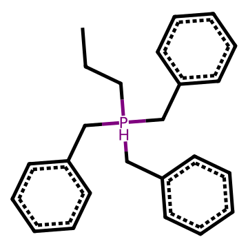 CCC[PH](Cc1ccccc1)(Cc1ccccc1)Cc1ccccc1